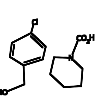 O=C(O)N1CCCCC1.OCc1ccc(Cl)cc1